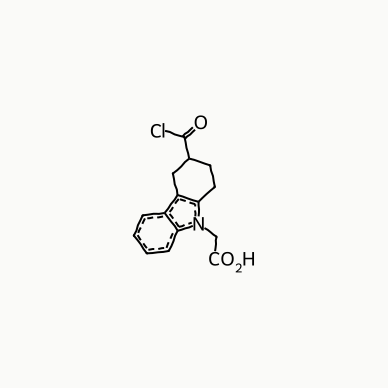 O=C(O)Cn1c2c(c3ccccc31)CC(C(=O)Cl)CC2